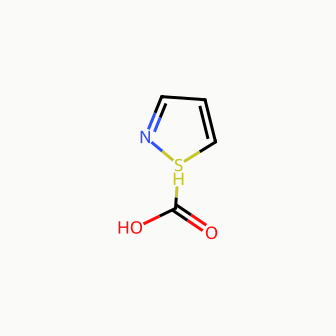 O=C(O)[SH]1C=CC=N1